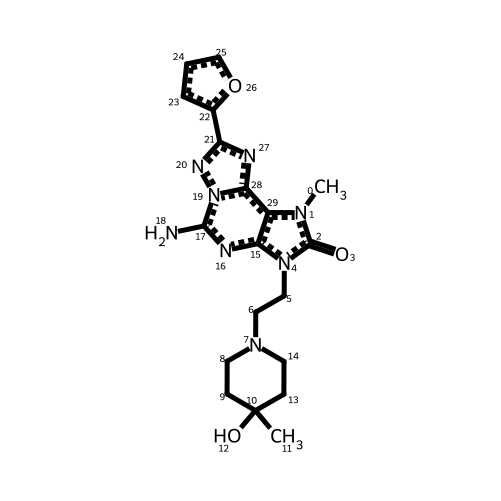 Cn1c(=O)n(CCN2CCC(C)(O)CC2)c2nc(N)n3nc(-c4ccco4)nc3c21